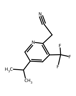 CC(C)c1cnc(CC#N)c(C(F)(F)F)c1